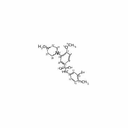 COc1ccc(S(=O)(=O)Nc2ccc(C)c(I)c2)cc1N1CCN(C)CC1